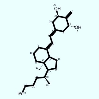 C=C1[C@H](O)CC(=C/C=C2\CCC[C@@]3(C)C2CCC3[C@@H](C)CCCC(C)C)C[C@H]1O